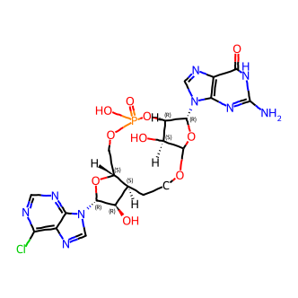 Nc1nc2c(ncn2[C@@H]2OC3OCC[C@H]4[C@@H](O)[C@H](n5cnc6c(Cl)ncnc65)O[C@@H]4COP(=O)(O)O[C@@H]2[C@@H]3O)c(=O)[nH]1